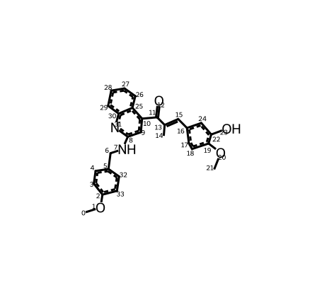 COc1ccc(CNc2cc(C(=O)/C(C)=C/c3ccc(OC)c(O)c3)c3ccccc3n2)cc1